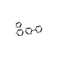 c1ccncc1.c1ccoc1.c1cnc(-c2cnccn2)cn1